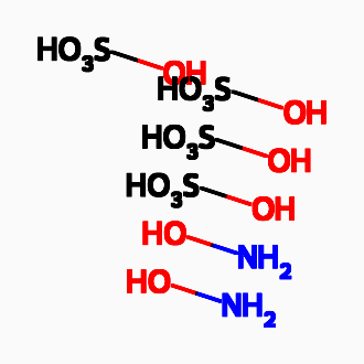 NO.NO.O=S(=O)(O)O.O=S(=O)(O)O.O=S(=O)(O)O.O=S(=O)(O)O